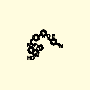 N#Cc1ccc(COc2cccc(C3CCN(Cc4nc5ccc6c(O)nccc6c5n4C[C@@H]4CCCO4)CC3)n2)c(F)c1